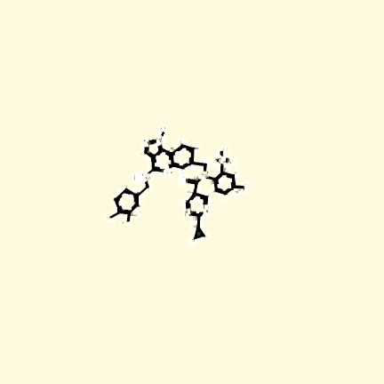 Cc1ccc(CNc2nc3cc(CN(C(=O)c4cnc(C5CC5)nc4)c4ccc(F)cc4S(C)(=O)=O)ccc3c3c2cnn3C)cc1C